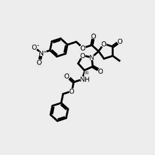 CC1CC(C(=O)OCc2ccc([N+](=O)[O-])cc2)(N2OC[C@H](NC(=O)OCc3ccccc3)C2=O)OC1=O